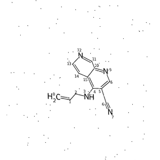 C=CCNc1c(C#N)cnc2cnccc12